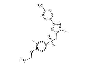 Cc1cc(S(=O)(=O)Cc2nn(-c3ccc(C(F)(F)F)cc3)nc2C)ccc1OCC(=O)O